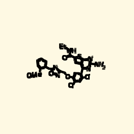 CCNC(=O)c1cc2c(-c3cc(OCc4noc(-c5ccccc5OC)n4)c(Cl)cc3Cl)nc(N)nc2s1